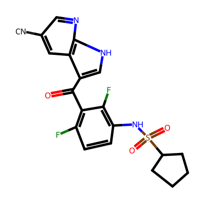 [C-]#[N+]c1cnc2[nH]cc(C(=O)c3c(F)ccc(NS(=O)(=O)C4CCCC4)c3F)c2c1